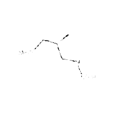 COC[C@@H](C)CNC(=O)O